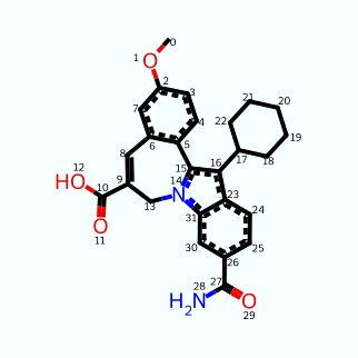 COc1ccc2c(c1)C=C(C(=O)O)Cn1c-2c(C2CCCCC2)c2ccc(C(N)=O)cc21